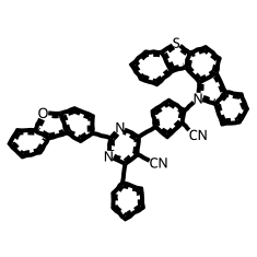 N#Cc1cc(-c2nc(-c3ccc4oc5ccccc5c4c3)nc(-c3ccccc3)c2C#N)ccc1-n1c2ccccc2c2ccc3sc4ccccc4c3c21